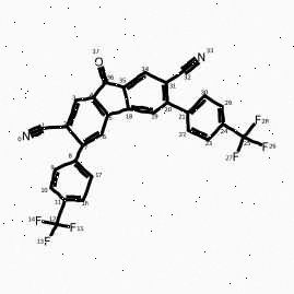 N#Cc1cc2c(cc1-c1ccc(C(F)(F)F)cc1)-c1cc(-c3ccc(C(F)(F)F)cc3)c(C#N)cc1C2=O